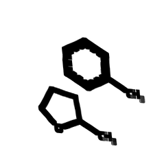 CC1CCCO1.Cc1ccccc1